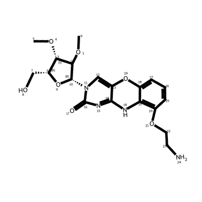 COC1[C@@H](OC)[C@@H](CO)O[C@H]1n1cc2c(nc1=O)Nc1c(OCCN)cccc1O2